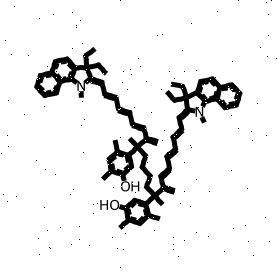 C=C(C=CC=CC=CC=C1N(C)c2c(ccc3ccccc23)C1(CC)CC)C(C)(CCCCC(C)(C(=C)C=CC=CC=CC=C1N(C)c2c(ccc3ccccc23)C1(CC)CC)c1cc(O)c(C)cc1C)c1cc(O)c(C)cc1C